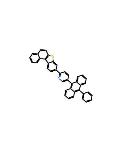 c1ccc(-c2c3ccccc3c(-c3ccc(-c4ccc5c(c4)sc4ccc6ccccc6c45)nc3)c3ccccc23)cc1